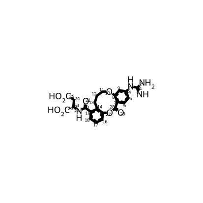 N=C(N)Nc1ccc2c(c1)OCCCc1c(cccc1C(=O)N[C@@H](CC(=O)O)C(=O)O)OC2=O